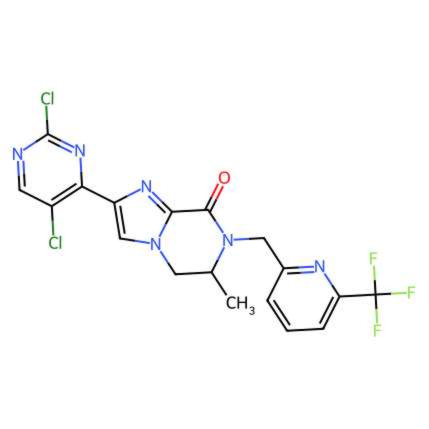 CC1Cn2cc(-c3nc(Cl)ncc3Cl)nc2C(=O)N1Cc1cccc(C(F)(F)F)n1